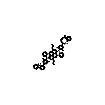 C=C1/C=C\C=C(\c2cc(C)c(N(c3ccccc3)c3cc(CCC)c4ccc5c(N(c6ccccc6)c6c(C)cc(-c7cccc8c7oc7ccccc78)cc6C)cc(CCC)c6ccc3c4c65)c(C)c2)COc2ccccc21